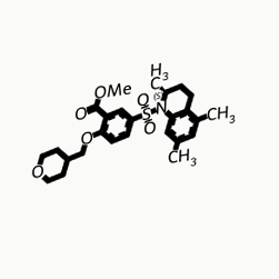 COC(=O)c1cc(S(=O)(=O)N2c3cc(C)cc(C)c3CC[C@@H]2C)ccc1OCC1CCOCC1